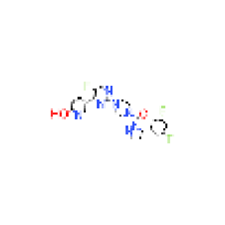 O=C(N1CCN(c2ncc(F)c(-c3ccc(O)nc3)n2)CC1)N1N=CC[C@H]1C1C=C(F)C=C(F)C1